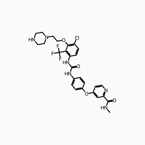 CNC(=O)c1cc(Oc2ccc(NC(=O)Nc3ccc(Cl)c(OCCN4CCNCC4)c3C(F)(F)F)cc2)ccn1